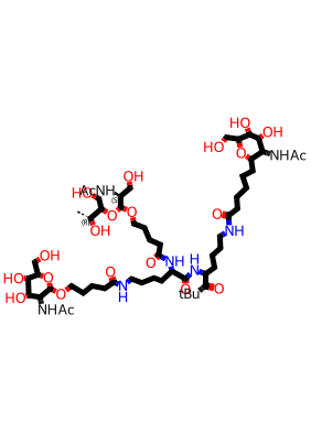 CC(=O)NC1C(CCCCCC(=O)NCCCCC(NC(=O)C(CCCCNC(=O)CCCCOC2OC(CO)C(O)C(O)C2NC(C)=O)NC(=O)CCCCOC(OC(CO)[C@@H](C)O)[C@H](CO)NC(C)=O)C(=O)C(C)(C)C)OC(CO)C(O)C1O